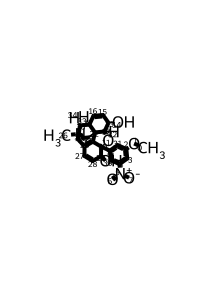 COc1cc([N+](=O)[O-])cc(C23O[C@H]4[C@@H](O)C=C[C@H]5[C@H]6CC(=C2[C@]54CCN6C)C=CC3O)c1